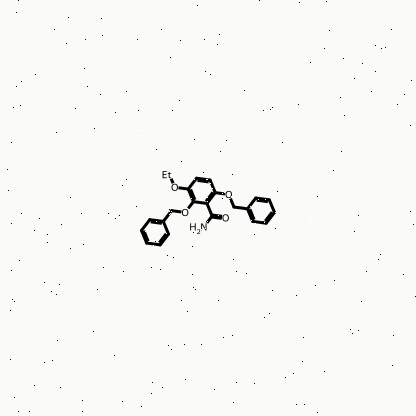 CCOc1ccc(OCc2ccccc2)c(C(N)=O)c1OCc1ccccc1